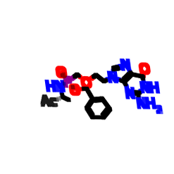 CC(=O)[C@@H](C)NP(=O)(COCCn1cnc2c(=O)[nH]c(N)nc21)OCc1ccccc1